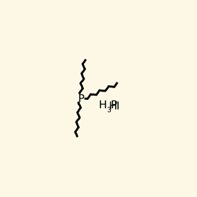 CCCCCCCCP(CCCCCCCC)CCCCCCCC.I.P